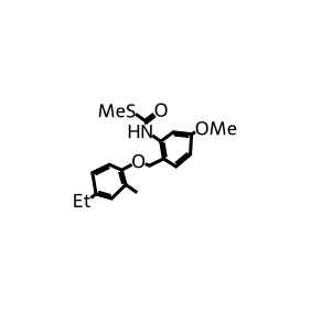 CCc1ccc(OCc2ccc(OC)cc2NC(=O)SC)c(C)c1